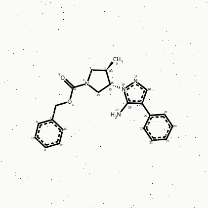 C[C@@H]1CN(C(=O)OCc2ccccc2)C[C@H]1n1ncc(-c2ccccc2)c1N